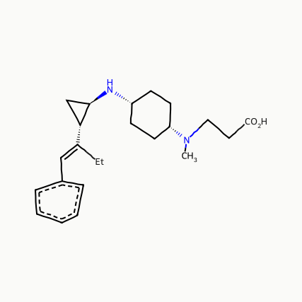 CC/C(=C\c1ccccc1)[C@@H]1C[C@H]1N[C@H]1CC[C@@H](N(C)CCC(=O)O)CC1